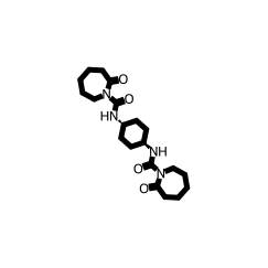 O=C1CCCCCN1C(=O)N[C@H]1CC[C@H](NC(=O)N2CCCCCC2=O)CC1